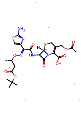 CC(=O)OCC1=C(C(=O)O)N2C(=O)C(NC(=O)C(=NOC(C)CC(=O)OC(C)(C)C)c3csc(N)n3)[C@@H]2SC1